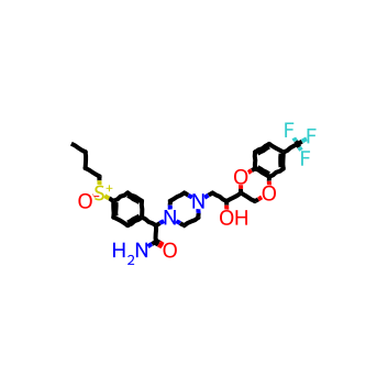 CCCC[S+]([O-])c1ccc(C(C(N)=O)N2CCN(CC(O)C3COc4cc(C(F)(F)F)ccc4O3)CC2)cc1